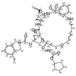 C=C[C@@H]1C[C@@]12NC(=O)[C@@H]1C[C@@H](OC(=O)N3Cc4cccc(F)c4C3)CN1C(=O)[C@@H](NC(=O)OC1CCCC1)COCCCCCNc1ccccc1S(=O)(=O)NC2=O